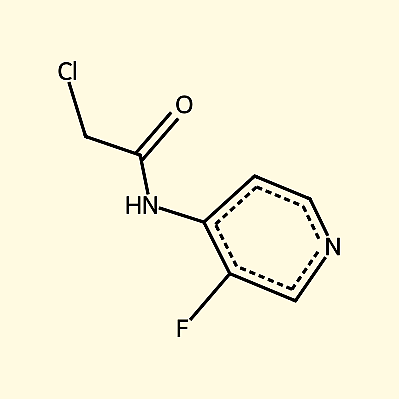 O=C(CCl)Nc1ccncc1F